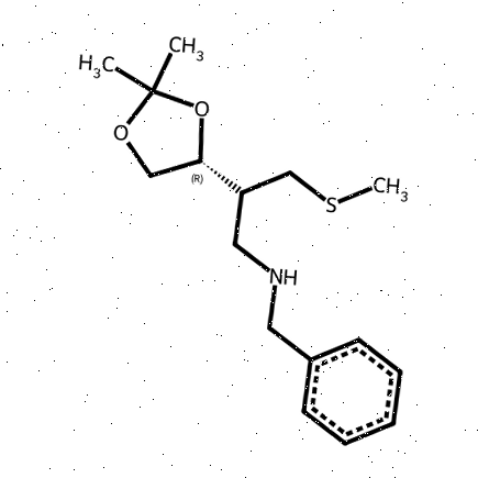 CSCC(CNCc1ccccc1)[C@@H]1COC(C)(C)O1